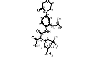 CC(C)CN(CC(F)(F)F)[C@H](C(N)=O)C(=O)Nc1ccc(N2CCOCC2=O)cc1OC(F)F